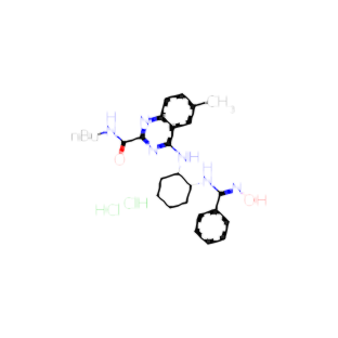 CCCCNC(=O)c1nc(N[C@H]2CCCC[C@H]2N/C(=N/O)c2ccccc2)c2cc(C)ccc2n1.Cl.Cl